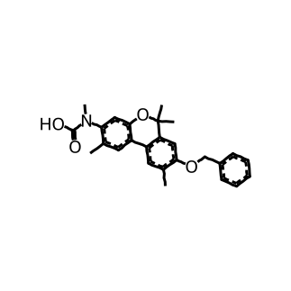 Cc1cc2c(cc1OCc1ccccc1)C(C)(C)Oc1cc(N(C)C(=O)O)c(C)cc1-2